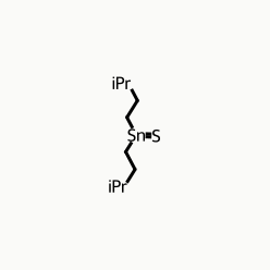 CC(C)C[CH2][Sn](=[S])[CH2]CC(C)C